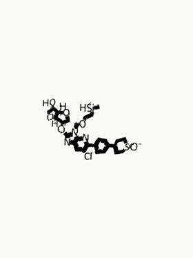 C[SiH](C)CCOCn1c(O[C@@H]2CO[C@H]3[C@@H]2OC[C@H]3O)nc2cc(Cl)c(-c3ccc(C4=CC[S+]([O-])CC4)cc3)nc21